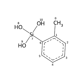 Cc1ccccc1[Si](O)(O)O